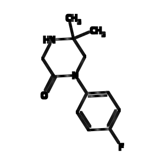 CC1(C)CN(c2ccc(F)cc2)C(=O)CN1